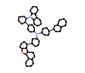 c1cc(-c2cccc3oc4c5ccccc5ccc4c23)cc(N(c2ccc(-c3ccc4ccccc4c3)cc2)c2ccc(-c3ccccc3-n3c4ccccc4c4ccccc43)cc2)c1